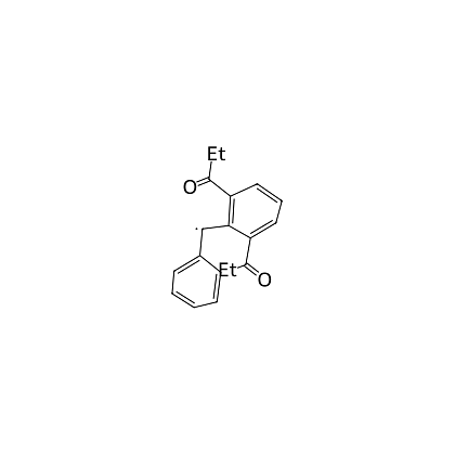 CCC(=O)c1cccc(C(=O)CC)c1[CH]c1ccccc1